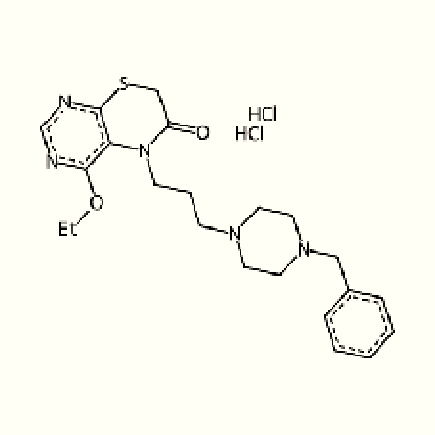 CCOc1ncnc2c1N(CCCN1CCN(Cc3ccccc3)CC1)C(=O)CS2.Cl.Cl